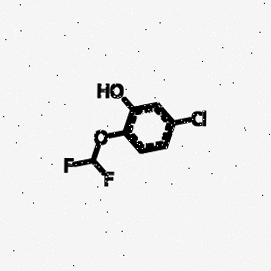 Oc1cc(Cl)ccc1OC(F)F